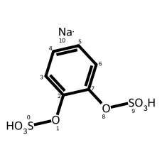 O=S(=O)(O)Oc1ccccc1OS(=O)(=O)O.[Na]